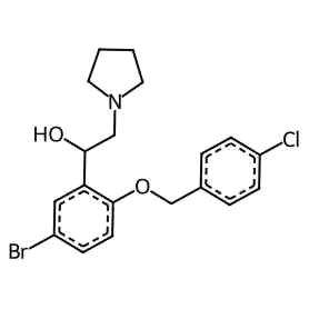 OC(CN1CCCC1)c1cc(Br)ccc1OCc1ccc(Cl)cc1